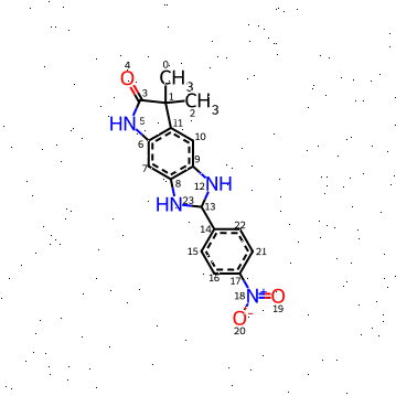 CC1(C)C(=O)Nc2cc3c(cc21)NC(c1ccc([N+](=O)[O-])cc1)N3